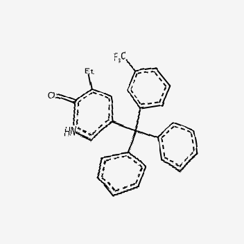 CCc1cc(C(c2ccccc2)(c2ccccc2)c2cccc(C(F)(F)F)c2)c[nH]c1=O